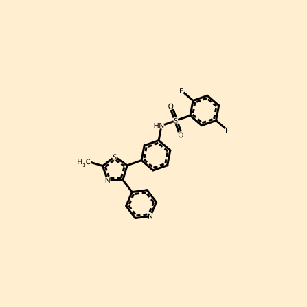 Cc1nc(-c2ccncc2)c(-c2cccc(NS(=O)(=O)c3cc(F)ccc3F)c2)s1